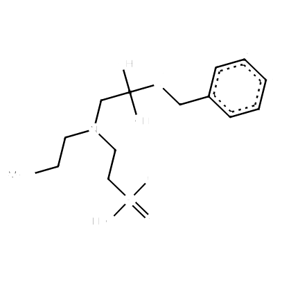 COCCN(CCP(C)(C)=S)CC(C)(C)SCc1ccccc1